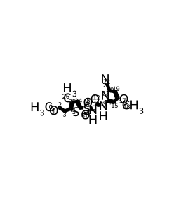 COCCc1sc(S(=O)(=O)NC(=O)Nc2cc(OC)cc(C#N)n2)cc1C